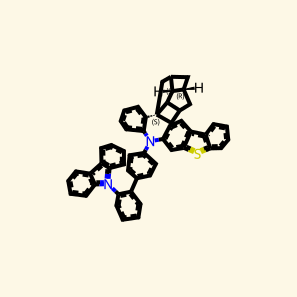 c1ccc(-n2c3ccccc3c3ccccc32)c(-c2ccc(N(c3ccc4c(c3)sc3ccccc34)c3ccccc3[C@]34CC5C[C@H]6CC(C3)[C@H]6C54)cc2)c1